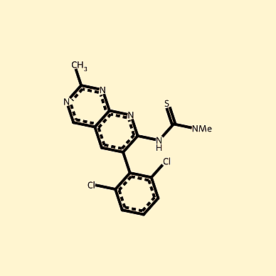 CNC(=S)Nc1nc2nc(C)ncc2cc1-c1c(Cl)cccc1Cl